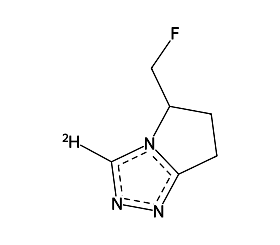 [2H]c1nnc2n1C(CF)CC2